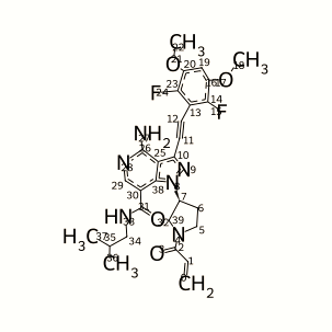 C=CC(=O)N1CC[C@H](n2nc(C#Cc3c(F)c(OC)cc(OC)c3F)c3c(N)ncc(C(=O)NCC(C)C)c32)C1